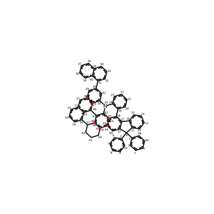 c1ccc(C2(c3ccccc3)c3ccccc3-c3c(-c4ccccc4N(c4cccc(-c5cccc6ccccc56)c4)c4ccccc4-c4cccc5cccc(C6CCCCC6)c45)cccc32)cc1